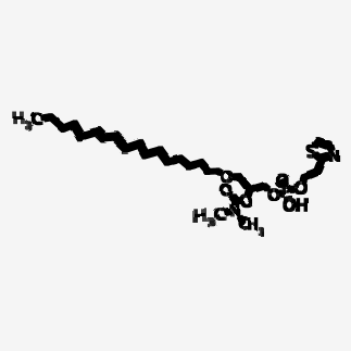 CCCCCCCCCCCCCCCCCCOCC(COP(=O)(O)OCCc1nccs1)OC(=O)N(C)C